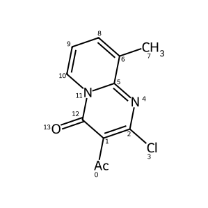 CC(=O)c1c(Cl)nc2c(C)cccn2c1=O